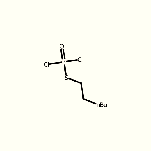 CCCCCCSP(=O)(Cl)Cl